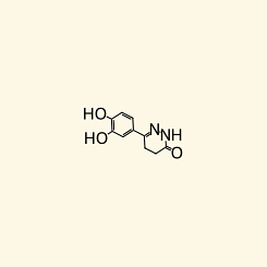 O=C1CCC(c2ccc(O)c(O)c2)=NN1